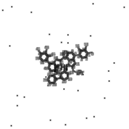 Cc1ccc(-c2cccc3c2C=C(CC(C)C)[CH]3[Hf]([c]2cccc3c2[SiH2]c2ccccc2-3)[CH]2C(CC(C)C)=Cc3c(-c4ccc(C)c(C)c4C)cccc32)c(C)c1C